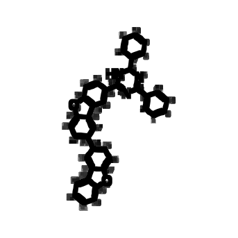 c1ccc(C2=NC(c3ccccc3)NC(c3ccc4oc5ccc(-c6ccc7oc8ccccc8c7c6)cc5c4c3)=N2)cc1